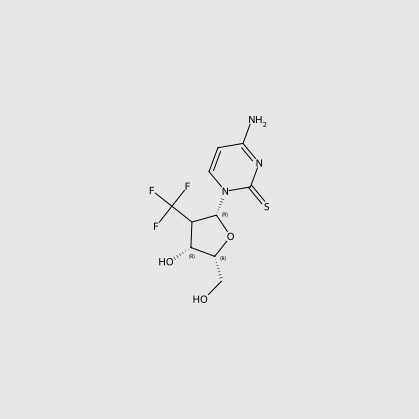 Nc1ccn([C@@H]2O[C@H](CO)[C@H](O)C2C(F)(F)F)c(=S)n1